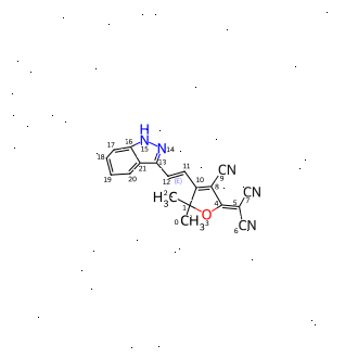 CC1(C)OC(=C(C#N)C#N)C(C#N)=C1/C=C/c1n[nH]c2ccccc12